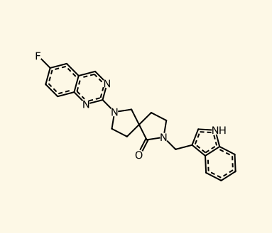 O=C1N(Cc2c[nH]c3ccccc23)CCC12CCN(c1ncc3cc(F)ccc3n1)C2